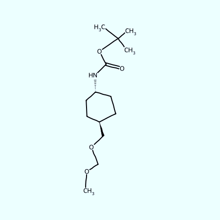 COCOC[C@H]1CC[C@H](NC(=O)OC(C)(C)C)CC1